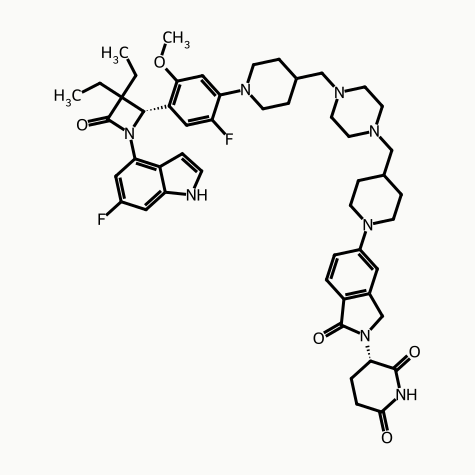 CCC1(CC)C(=O)N(c2cc(F)cc3[nH]ccc23)[C@H]1c1cc(F)c(N2CCC(CN3CCN(CC4CCN(c5ccc6c(c5)CN([C@H]5CCC(=O)NC5=O)C6=O)CC4)CC3)CC2)cc1OC